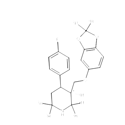 [2H]C1([2H])CC(c2ccc(F)cc2)[C@@]([2H])(COc2ccc3c(c2)OC([2H])([2H])O3)C([2H])([2H])N1